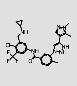 Cc1ccc(C(=O)Nc2cc(CNC3CC3)c(Cl)c(C(F)(F)F)c2)cc1N1C=C(c2cnn(C)c2C)NN1